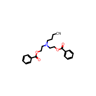 N#CCCCN(CCOC(=O)c1ccccc1)CCOC(=O)c1ccccc1